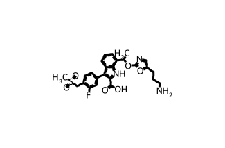 CC(Oc1ncc(CCCN)o1)c1cccc2c(-c3ccc(CS(C)(=O)=O)c(F)c3)c(C(=O)O)[nH]c12